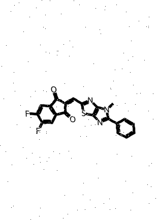 Cn1c(-c2ccccc2)nc2sc(C=C3C(=O)c4cc(F)c(F)cc4C3=O)nc21